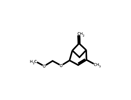 C=C1C2CC1C(OCOC)C=C2C